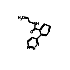 C=CCNC(=O)c1ccccc1-c1ccnnn1